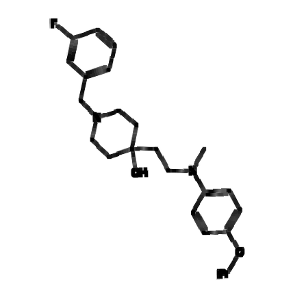 CC(C)Oc1ccc(N(C)CCC2(O)CCN(Cc3cccc(F)c3)CC2)cc1